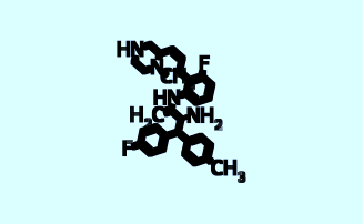 C=C(Nc1cccc(F)c1C/C=C\C1CNCCN1C)[C@@H](N)C(c1ccc(C)cc1)c1ccc(F)cc1